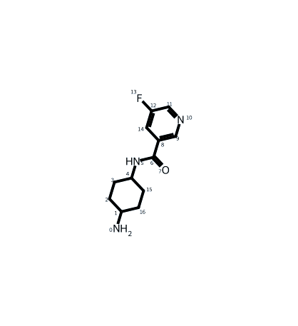 NC1CCC(NC(=O)c2cncc(F)c2)CC1